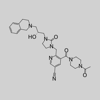 CC(=O)N1CCN(C(=O)c2cc(C#N)cnc2CN2CCN(C[C@H](O)CN3CCc4ccccc4C3)C2=O)CC1